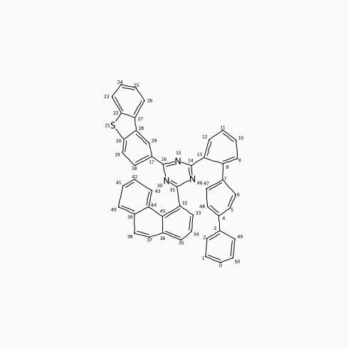 c1ccc(-c2ccc(-c3ccccc3-c3nc(-c4ccc5sc6ccccc6c5c4)nc(-c4cccc5ccc6ccccc6c45)n3)cc2)cc1